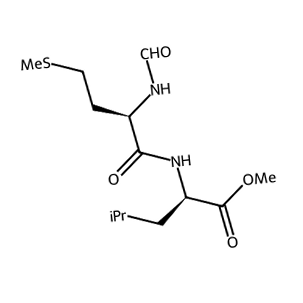 COC(=O)[C@@H](CC(C)C)NC(=O)[C@@H](CCSC)NC=O